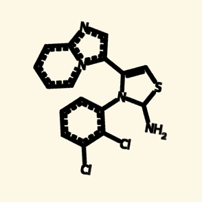 NC1SC=C(c2cnc3ccccn23)N1c1cccc(Cl)c1Cl